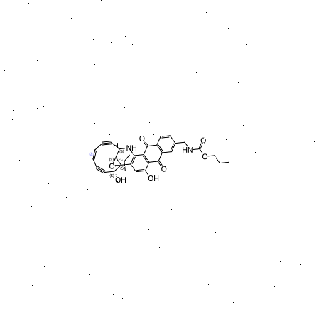 CCCOC(=O)NCc1ccc2c(c1)C(=O)c1c(O)cc3c(c1C2=O)N[C@H]1C#C/C=C\C#C[C@@H](O)[C@@]32O[C@@]12C(C)C